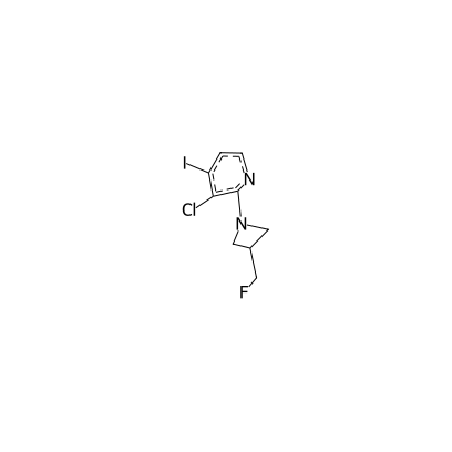 FCC1CN(c2nccc(I)c2Cl)C1